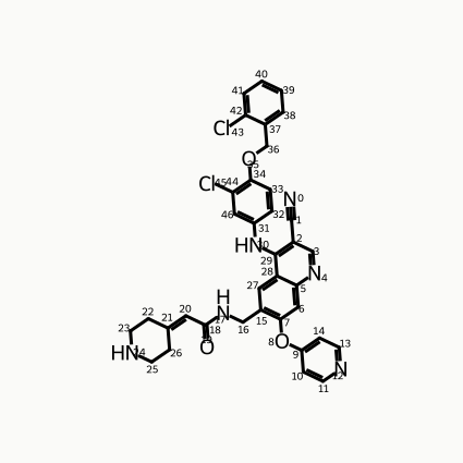 N#Cc1cnc2cc(Oc3ccncc3)c(CNC(=O)C=C3CCNCC3)cc2c1Nc1ccc(OCc2ccccc2Cl)c(Cl)c1